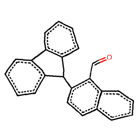 O=Cc1c(C2c3ccccc3-c3ccccc32)ccc2ccccc12